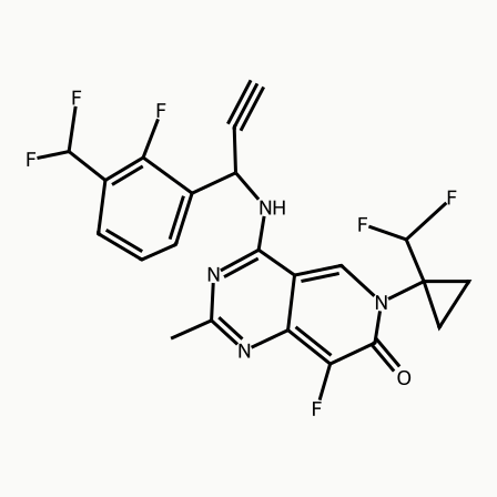 C#CC(Nc1nc(C)nc2c(F)c(=O)n(C3(C(F)F)CC3)cc12)c1cccc(C(F)F)c1F